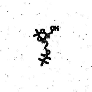 CC1(C)O[C@@H](CCO[Si](C)(C)C(C)(C)C)[C@@H](CO)O1